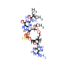 CO[C@@H]1COCC[C@@H]2C[C@H](n3cnc4c(N)ncnc43)O[C@@H]2COP(=O)(S)O[C@H](n2cnc3c(=O)[nH]c(NC(=O)C(C)C)nc32)C1